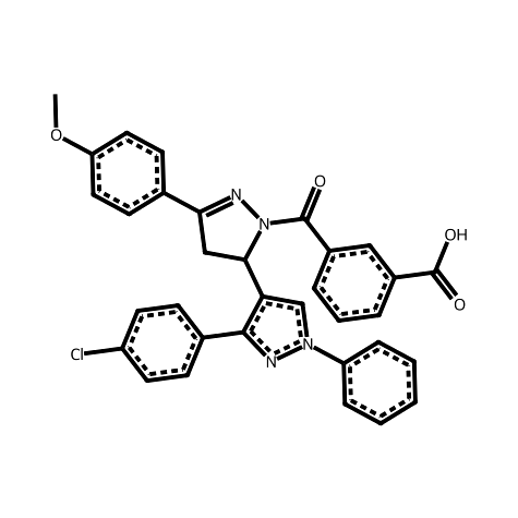 COc1ccc(C2=NN(C(=O)c3cccc(C(=O)O)c3)C(c3cn(-c4ccccc4)nc3-c3ccc(Cl)cc3)C2)cc1